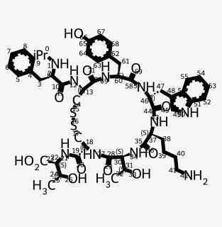 CC(C)N[C@H](Cc1ccccc1)C(=O)N[C@H]1CSSC[C@@H](C(=O)N[C@H](C(=O)O)[C@H](C)O)NC(=O)[C@H]([C@H](C)O)NC(=O)[C@H](CCCCN)NC(=O)[C@@H](Cc2c[nH]c3ccccc23)NC(=O)[C@H](Cc2ccc(O)cc2)NC1=O